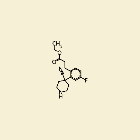 CCOC(=O)CCc1ccc(F)cc1C1(C#N)CCNCC1